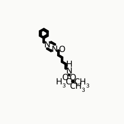 CC(C)(C)OC(=O)NCCCCCC(=O)N1CCN(Cc2ccccc2)CC1